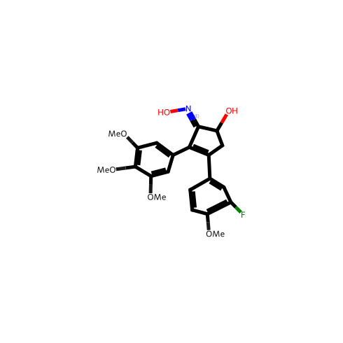 COc1ccc(C2=C(c3cc(OC)c(OC)c(OC)c3)/C(=N\O)C(O)C2)cc1F